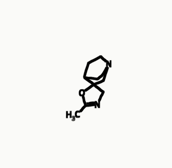 CC1=NCC2(CN3CCC2CC3)O1